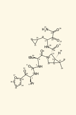 CC(C)[C@H](NC(=O)N[C@H](C(=O)N1CC2[C@@H]([C@H]1C(=O)NC(CC1CC1)C(=O)C(N)=O)C2(C)C)C(C)(C)C)C(=O)c1ccco1